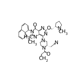 C=CC(=O)N1CCN(c2nc(OC[C@@H]3CCCN3C)nc3c(=O)n(-c4cccc5cccc(CC)c45)c(C)nc23)C[C@@H]1CC#N